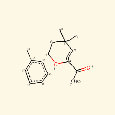 CC1(C)C=C(C(=O)C=O)OCC1.Cc1ccccc1